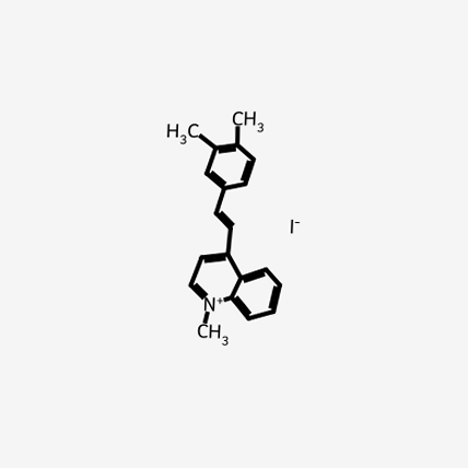 Cc1ccc(C=Cc2cc[n+](C)c3ccccc23)cc1C.[I-]